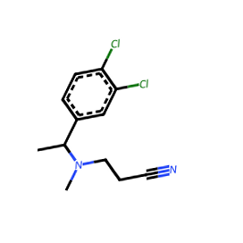 CC(c1ccc(Cl)c(Cl)c1)N(C)CCC#N